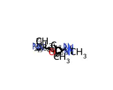 Cc1cc(-c2nnn(C)n2)cc(C)c1OCCCn1ccnc1C